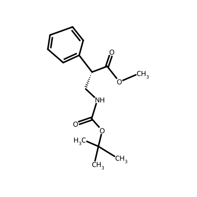 COC(=O)[C@H](CNC(=O)OC(C)(C)C)c1ccccc1